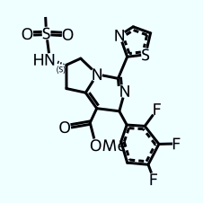 COC(=O)C1=C2C[C@H](NS(C)(=O)=O)CN2C(c2nccs2)=NC1c1ccc(F)c(F)c1F